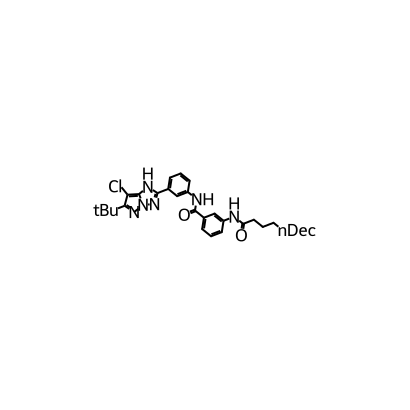 CCCCCCCCCCCCCC(=O)Nc1cccc(C(=O)Nc2cccc(-c3nn4nc(C(C)(C)C)c(Cl)c4[nH]3)c2)c1